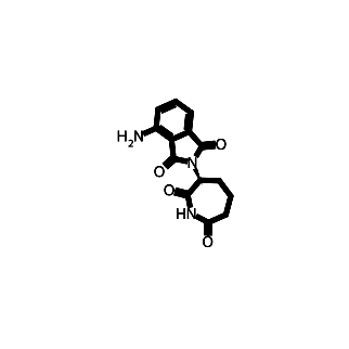 Nc1cccc2c1C(=O)N([C@H]1CCCC(=O)NC1=O)C2=O